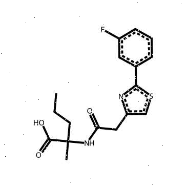 CCCC(C)(NC(=O)Cc1csc(-c2cccc(F)c2)n1)C(=O)O